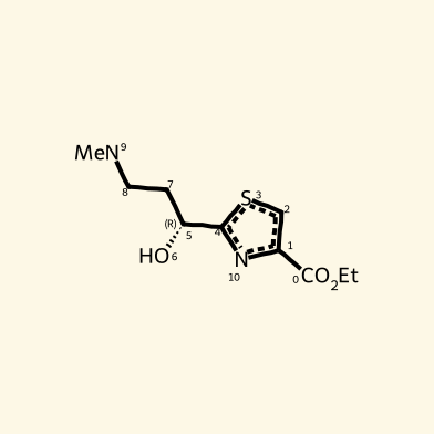 CCOC(=O)c1csc([C@H](O)CCNC)n1